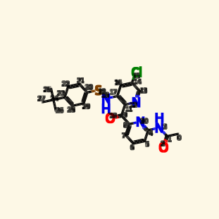 CC(=O)Nc1cccc(C(=O)c2ncc(Cl)cc2NSc2ccc(C(C)(C)C)cc2)n1